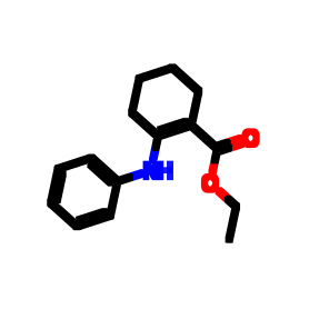 CCOC(=O)C1=C(Nc2ccccc2)CCCC1